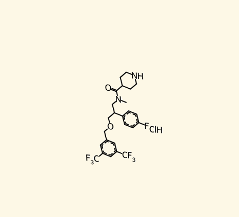 CN(CC(COCc1cc(C(F)(F)F)cc(C(F)(F)F)c1)c1ccc(F)cc1)C(=O)C1CCNCC1.Cl